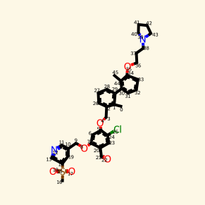 Cc1c(COc2cc(OCc3cncc(S(C)(=O)=O)c3)c(C=O)cc2Cl)cccc1-c1cccc(OCCCN2CCCC2)c1C